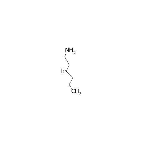 CCCCCCN.[Ir]